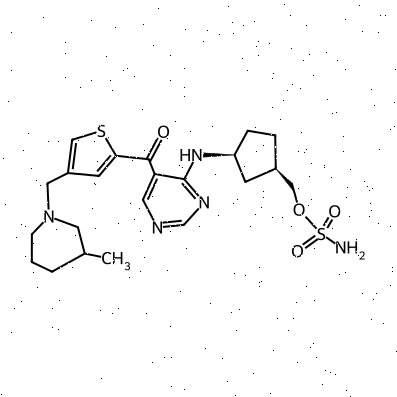 CC1CCCN(Cc2csc(C(=O)c3cncnc3N[C@H]3CC[C@@H](COS(N)(=O)=O)C3)c2)C1